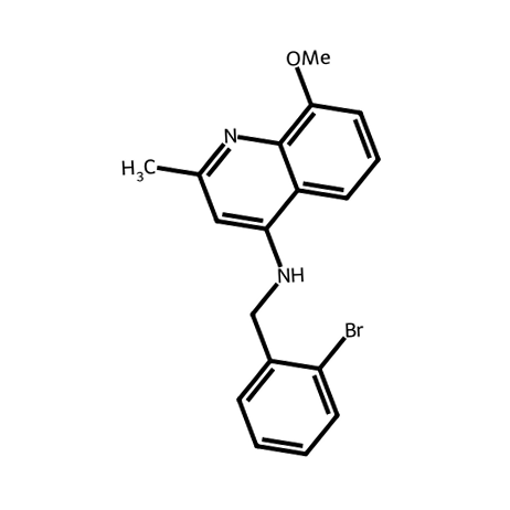 COc1cccc2c(NCc3ccccc3Br)cc(C)nc12